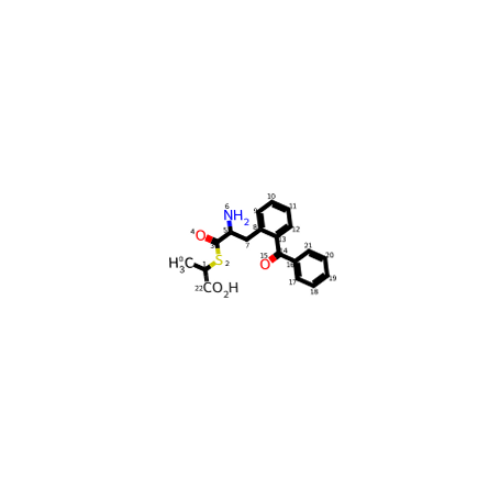 CC(SC(=O)C(N)Cc1ccccc1C(=O)c1ccccc1)C(=O)O